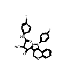 N#CC(C(=O)Nc1ccc(F)cc1)C(=O)c1nn(-c2ccc(F)cc2)c2c1CSc1ccccc1-2